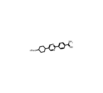 CCCCCC1CCC(c2cnc(-c3ccc(C(=N)N)cc3)nc2)CC1